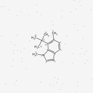 Cc1ccc2ncn(C)c2c1C(C)(C)C